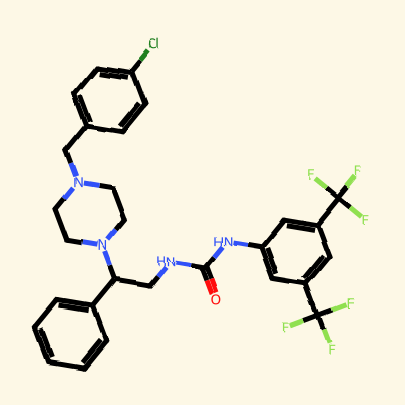 O=C(NCC(c1ccccc1)N1CCN(Cc2ccc(Cl)cc2)CC1)Nc1cc(C(F)(F)F)cc(C(F)(F)F)c1